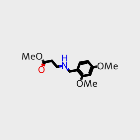 COC(=O)CCNCc1ccc(OC)cc1OC